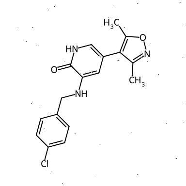 Cc1noc(C)c1-c1c[nH]c(=O)c(NCc2ccc(Cl)cc2)c1